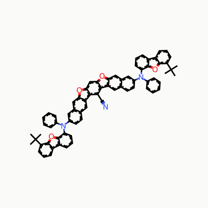 CC(C)(C)c1cccc2c1oc1c(N(c3ccccc3)c3ccc4cc5c(cc4c3)oc3cc4oc6cc7cc(N(c8ccccc8)c8cccc9c8oc8c(C(C)(C)C)cccc89)ccc7cc6c4c(C#N)c35)cccc12